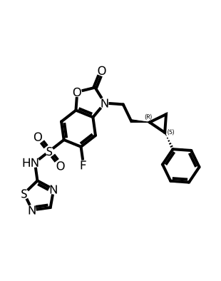 O=c1oc2cc(S(=O)(=O)Nc3ncns3)c(F)cc2n1CC[C@H]1C[C@@H]1c1ccccc1